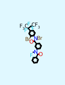 CN(C(=O)c1ccccc1F)c1cccc(C(=O)N(Br)c2ccc(C(F)(C(F)(F)F)C(F)(F)C(F)(F)F)cc2Br)c1